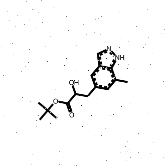 Cc1cc(CC(O)C(=O)OC(C)(C)C)cc2cn[nH]c12